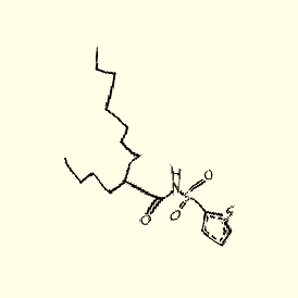 CCCCCCCC(CCCC)C(=O)NS(=O)(=O)c1cccs1